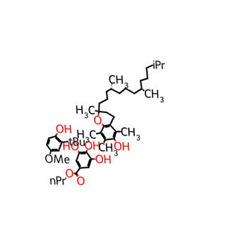 CCCOC(=O)c1cc(O)c(O)c(O)c1.COc1ccc(O)c(C(C)(C)C)c1.Cc1c(C)c2c(c(C)c1O)CC[C@@](C)(CCC[C@H](C)CCC[C@H](C)CCCC(C)C)O2